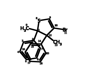 CC1(c2ccccc2)SC=C(Br)C1(C)c1ccccc1